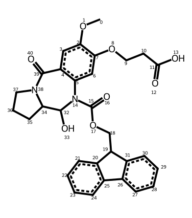 COc1cc2c(cc1OCCC(=O)O)N(C(=O)OCC1c3ccccc3-c3ccccc31)C(O)C1CCCN1C2=O